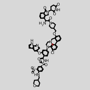 NC(C(=O)N1CCC(COc2cccc(-c3ccc(Cl)cc3)c2CN2CCN(c3ccc(C(=O)NS(=O)(=O)c4ccc(NCC5CCOCC5)c([N+](=O)[O-])c4)c(Oc4cnc5[nH]ccc5c4)c3)CC2)CC1)c1cccc2c1CN(C1CCC(=O)NC1=O)C2=O